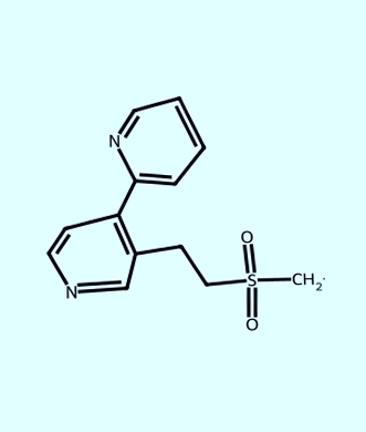 [CH2]S(=O)(=O)CCc1cnccc1-c1ccccn1